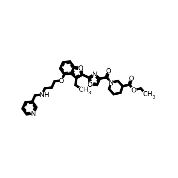 CCOC(=O)C1CCCN(C(=O)c2coc(-c3oc4cccc(OCCCNCc5cccnc5)c4c3CC)n2)C1